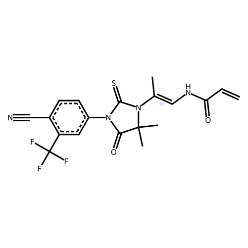 C=CC(=O)N/C=C(\C)N1C(=S)N(c2ccc(C#N)c(C(F)(F)F)c2)C(=O)C1(C)C